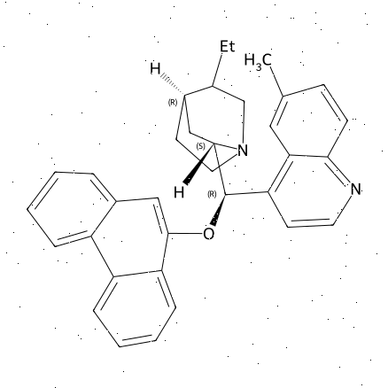 CCC1CN2CC[C@@H]1C[C@H]2[C@H](Oc1cc2ccccc2c2ccccc12)c1ccnc2ccc(C)cc12